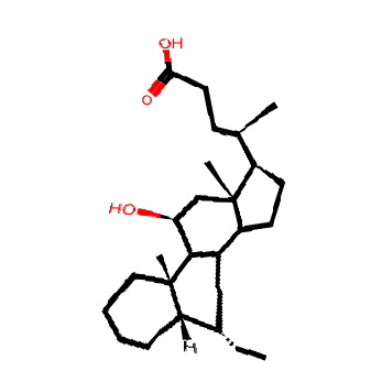 CC[C@H]1CC2C3CC[C@H]([C@H](C)CCC(=O)O)[C@@]3(C)C[C@H](O)C2[C@@]2(C)CCCC[C@@H]12